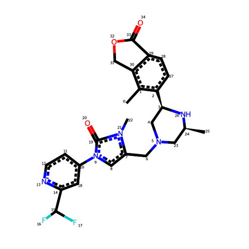 Cc1c([C@@H]2CN(Cc3cn(-c4ccnc(C(F)F)c4)c(=O)n3C)C[C@H](C)N2)ccc2c1COC2=O